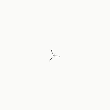 [CH]N(C)C